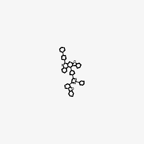 c1ccc(-c2ccc(-c3nc4ccccc4c4c(-c5ccc(-c6cc(-c7cccc8c7oc7ccccc78)nc(-c7ccccc7)n6)cc5)c5c(cc34)oc3ccccc35)cc2)cc1